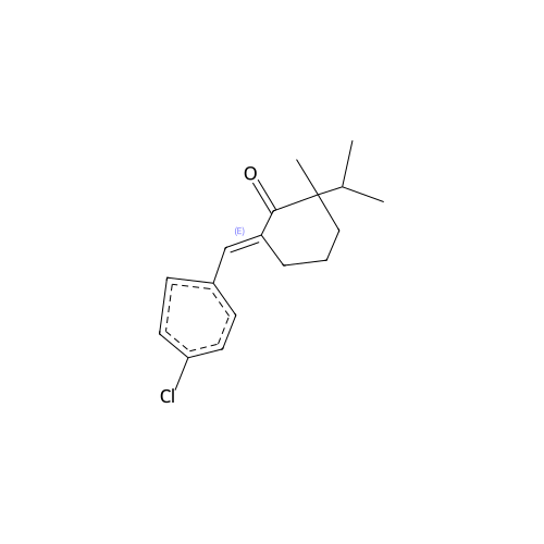 CC(C)C1(C)CCC/C(=C\c2ccc(Cl)cc2)C1=O